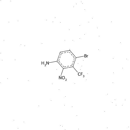 Nc1c[c]c(Br)c(C(F)(F)F)c1[N+](=O)[O-]